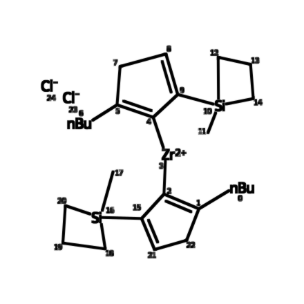 CCCCC1=[C]([Zr+2][C]2=C(CCCC)CC=C2[Si]2(C)CCC2)C([Si]2(C)CCC2)=CC1.[Cl-].[Cl-]